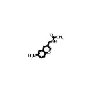 CC(=O)NCC1COc2ccc(N)cc2C1